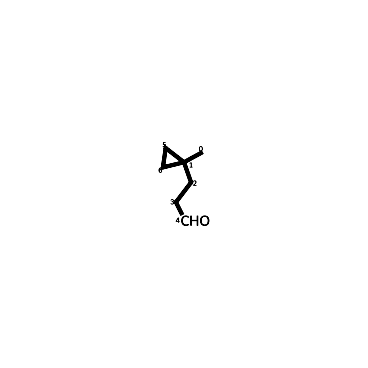 CC1(CCC=O)CC1